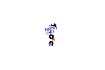 CC(C)(C)C1=CN=S(NC(=O)Nc2ccc(Oc3ccncc3)cc2)N1